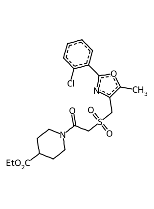 CCOC(=O)C1CCN(C(=O)CS(=O)(=O)Cc2nc(-c3ccccc3Cl)oc2C)CC1